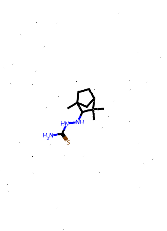 CC12CCC(C1)C(C)(C)C2NNC(N)=S